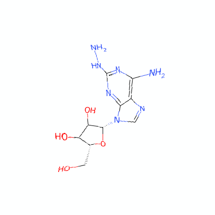 NNc1nc(N)c2ncn([C@@H]3O[C@H](CO)C(O)C3O)c2n1